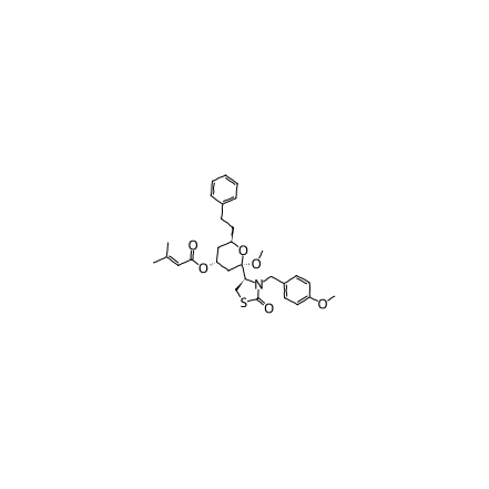 COc1ccc(CN2C(=O)SC[C@H]2[C@@]2(OC)C[C@H](OC(=O)C=C(C)C)C[C@@H](CCc3ccccc3)O2)cc1